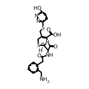 NCc1ccccc1CC(=O)NC1C(=O)N2C(C(=O)O)=C(CSc3ccc(O)nn3)CS[C@H]12